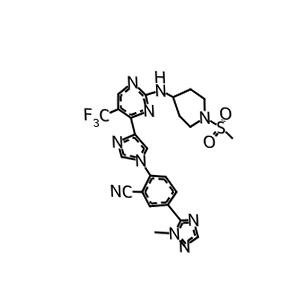 Cn1ncnc1-c1ccc(-n2cnc(-c3nc(NC4CCN(S(C)(=O)=O)CC4)ncc3C(F)(F)F)c2)c(C#N)c1